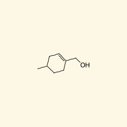 CC1CC=C(CO)CC1